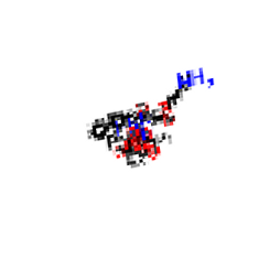 CCC(=O)OC(OP(=O)(CNC(Cc1ccc(-c2ccccc2)cc1)C(=O)NCCC(=O)OCCCCCN)OC(OC(=O)CC)C(C)C)C(C)C